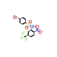 O=[N+]([O-])c1ccc(C(F)(F)F)cc1NS(=O)(=O)c1ccc(Br)cc1